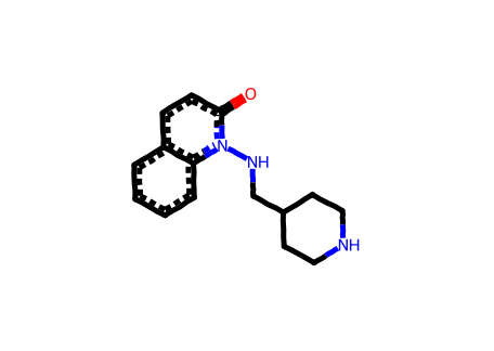 O=c1ccc2ccccc2n1NCC1CCNCC1